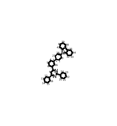 C1=CC(c2cccc(-c3cc(-c4ccccc4)nc(-c4ccccc4)n3)c2)CC=C1n1c2ccccc2c2ccccc21